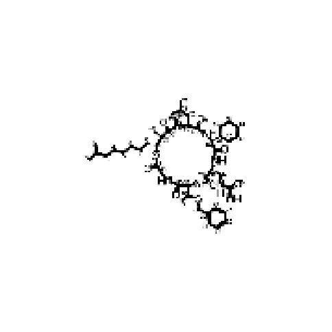 CC(C)CCCCCC[C@H]1OC(=O)CNC(=O)[C@H](C(C)OCc2ccccc2)NC(=O)[C@H](CNC(=O)O)NC(=O)[C@H](C2CCCCC2)NC(=O)[C@H](CC(C)C)N(C)C(=O)[C@@H]1C